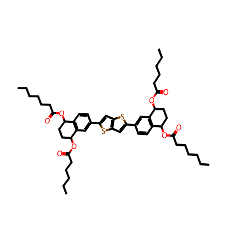 CCCCCCC(=O)OC1CCC(OC(=O)CCCCC)c2cc(-c3cc4sc(-c5ccc6c(c5)C(OC(=O)CCCCC)CCC6OC(=O)CCCCCC)cc4s3)ccc21